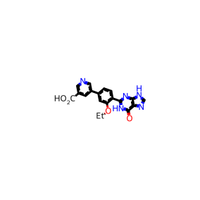 CCOc1cc(-c2cncc(C(=O)O)c2)ccc1-c1nc2[nH]cnc2c(=O)[nH]1